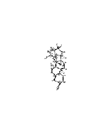 CC1(C)O[C@@H]2C[C@H]3[C@@H]4CCC5=CC(=O)C=C[C@]5(C)C4=CC[C@]3(C)[C@]2(C(=O)C(F)Cl)O1